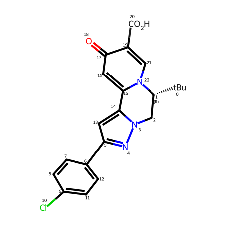 CC(C)(C)[C@@H]1Cn2nc(-c3ccc(Cl)cc3)cc2-c2cc(=O)c(C(=O)O)cn21